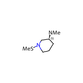 CN[C@H]1CCCN(SC)C1